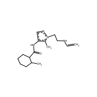 C=CNCCn1ncc(NC(=O)C2CCCCC2C)c1C